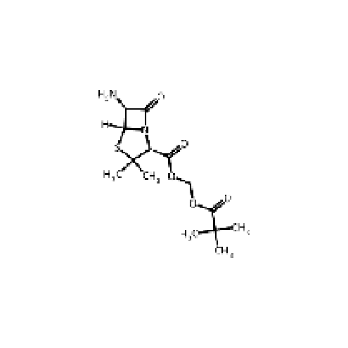 CC(C)(C)C(=O)OCOC(=O)[C@@H]1N2C(=O)[C@H](N)[C@H]2SC1(C)C